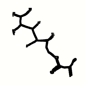 C=C(C)C(=O)OCC(F)C(F)C(F)C(F)C(F)F